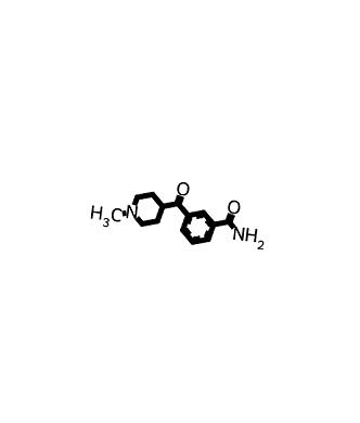 CN1CCC(C(=O)c2cccc(C(N)=O)c2)CC1